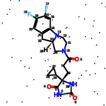 O=C1NC(=O)[C@](CCC(=O)N2CCN3c4cc(F)c(F)cc4C[C@@H]3C2)(C2CC2)N1